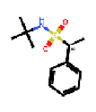 C[C@@H](c1ccccc1)S(=O)(=O)NC(C)(C)C